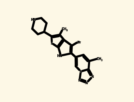 Cc1c(C2CCNCC2)sc2[nH]c(-c3cc(C)c4nnnn4c3)c(C(C)C)c12